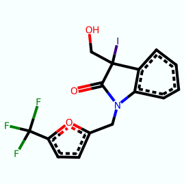 O=C1N(Cc2ccc(C(F)(F)F)o2)c2ccccc2C1(I)CO